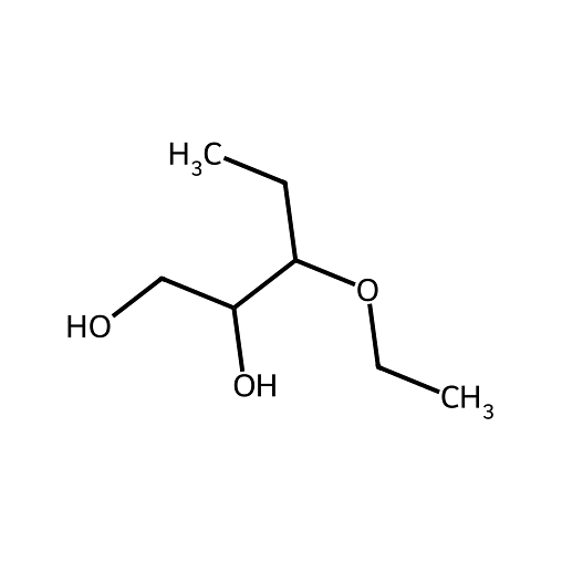 CCOC(CC)C(O)CO